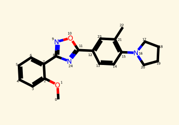 COc1ccccc1-c1noc(-c2ccc(N3CCCC3)c(C)c2)n1